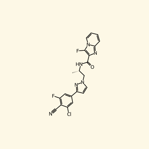 C[C@@H](Cn1ccc(-c2cc(F)c(C#N)c(Cl)c2)n1)NC(=O)c1nc2ccccn2c1F